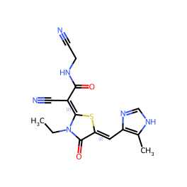 CCn1c(=O)/c(=C/c2nc[nH]c2C)s/c1=C(/C#N)C(=O)NCC#N